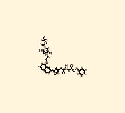 CC(C)(C)OC(=O)N1C[C@@H]2C[C@H]1CN2CCOc1cccc2ccc(-c3nc(CC(=O)NCC(=O)OCc4ccccc4)cs3)cc12